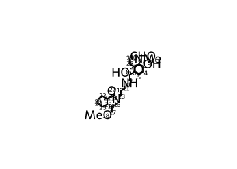 CNc1c(O)ccc(C(O)CNCCCN(CCCOC)C(=O)C2CCCCC2)c1/C=C\C=O